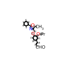 Cc1oc(-c2ccccc2)nc1COc1ccc(C=CC=O)cc1OC(C)C